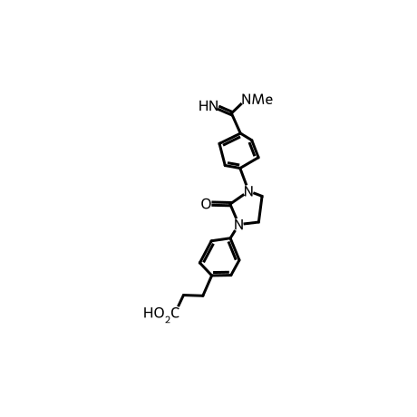 CNC(=N)c1ccc(N2CCN(c3ccc(CCC(=O)O)cc3)C2=O)cc1